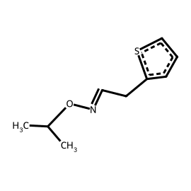 CC(C)ON=CCc1cccs1